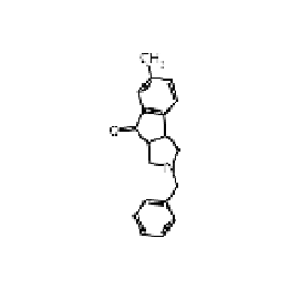 Cc1ccc2c(c1)C(=O)C1CN(Cc3ccccc3)CC21